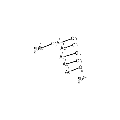 CC(=O)[O-].CC(=O)[O-].CC(=O)[O-].CC(=O)[O-].CC(=O)[O-].CC(=O)[O-].[Sb+3].[Sb+3]